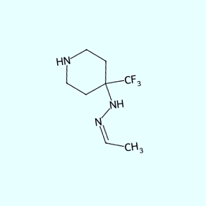 C/C=N\NC1(C(F)(F)F)CCNCC1